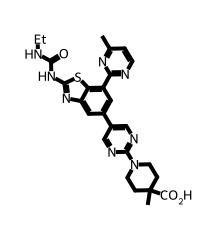 CCNC(=O)Nc1nc2cc(-c3cnc(N4CCC(C)(C(=O)O)CC4)nc3)cc(-c3nccc(C)n3)c2s1